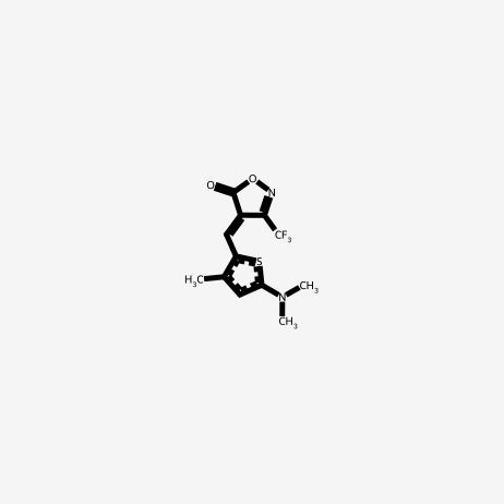 Cc1cc(N(C)C)sc1/C=C1/C(=O)ON=C1C(F)(F)F